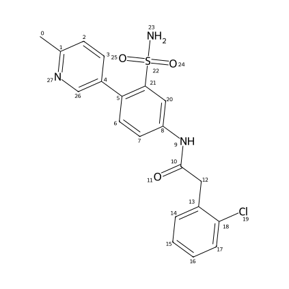 Cc1ccc(-c2ccc(NC(=O)Cc3ccccc3Cl)cc2S(N)(=O)=O)cn1